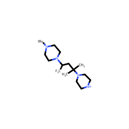 CC(C)(C)N1CCN(C(CC(C)(C)N2CCNCC2)C(F)(F)F)CC1